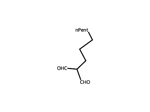 [CH2]CCCCCCCC(C=O)C=O